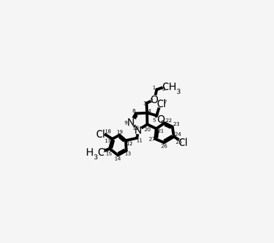 CCOCC1(C(=O)Cl)C=NN(Cc2ccc(C)c(Cl)c2)C1c1ccc(Cl)cc1